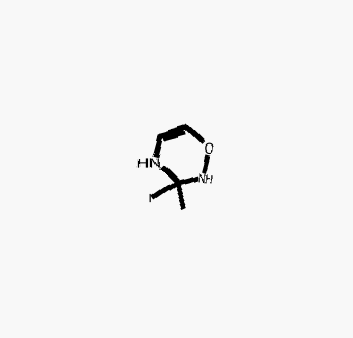 CC1(I)NC=CON1